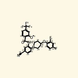 COc1cc(C(F)(F)F)ccc1C(=O)Nc1cc(C#N)ccc1N1CCC(Oc2ccc(F)cc2F)CC1